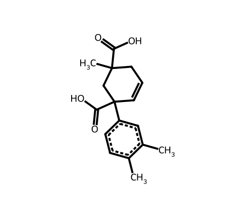 Cc1ccc(C2(C(=O)O)C=CCC(C)(C(=O)O)C2)cc1C